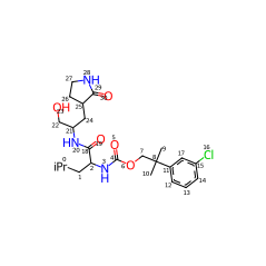 CC(C)CC(NC(=O)OCC(C)(C)c1cccc(Cl)c1)C(=O)NC(CO)CC1CCNC1=O